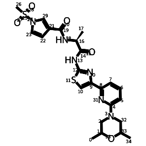 CC1CN(c2cccc(-c3csc(NC(=O)[C@H](C)NC(=O)c4ccn(S(C)(=O)=O)c4)n3)n2)CC(C)O1